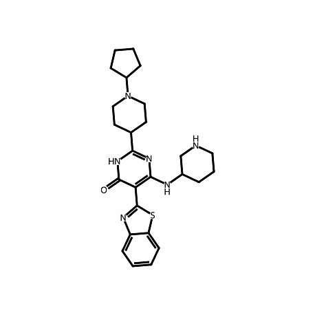 O=c1[nH]c(C2CCN(C3CCCC3)CC2)nc(NC2CCCNC2)c1-c1nc2ccccc2s1